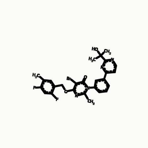 Cc1cc(COc2nc(C)n(-c3cccc(-c4ccnc(C(C)(C)O)n4)c3)c(=O)c2Br)c(F)cc1F